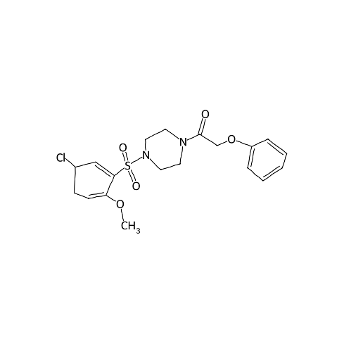 COC1=CCC(Cl)C=C1S(=O)(=O)N1CCN(C(=O)COc2ccccc2)CC1